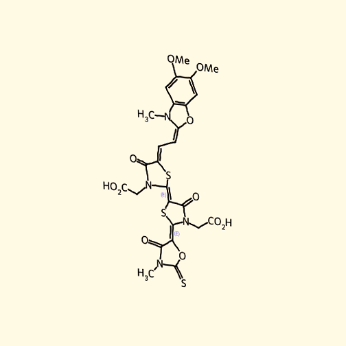 COc1cc2c(cc1OC)N(C)C(=CC=c1s/c(=c3/s/c(=C4/OC(=S)N(C)C4=O)n(CC(=O)O)c3=O)n(CC(=O)O)c1=O)O2